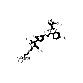 CCc1c(-c2ccc(NC(=O)[C@@H](NC(=O)c3conc3C)C3CCC(C)CC3)nc2F)c(C)nn1COCC[Si](C)(C)C